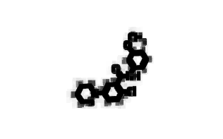 COc1cccc(NC(=O)c2cc(N3CCCCS3)ccc2Cl)c1